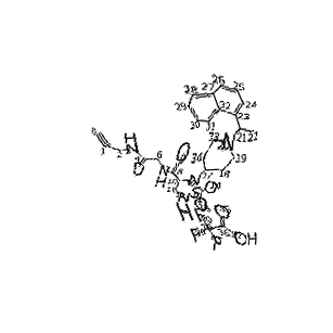 C#CCNC(=O)CNC(=O)[C@@H]1CNS(=O)(=O)N1C1CCN(C(C)c2cccc3ccccc23)CC1.O=C(O)C(F)(F)F